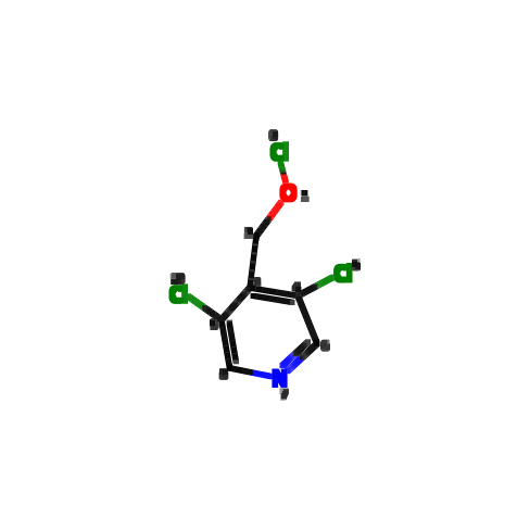 ClOCc1c(Cl)cncc1Cl